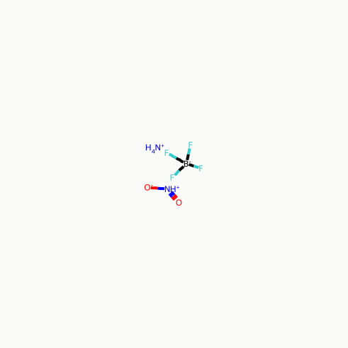 F[B-](F)(F)F.O=[NH+][O-].[NH4+]